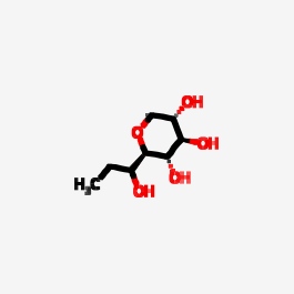 CCC(O)[C@H]1O[CH][C@H](O)[C@@H](O)[C@@H]1O